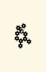 c1ccc(-c2cc(-c3ccccc3)cc(-c3cc(-c4ccccc4)cc(-c4cccc(-c5nc(-c6ccccc6)c6c7ccccc7n(-c7ccccc7)c6n5)c4)c3)c2)cc1